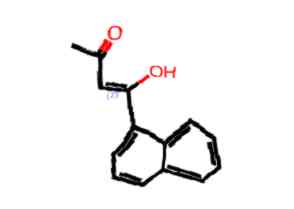 CC(=O)/C=C(\O)c1cccc2ccccc12